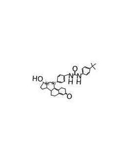 CC(C)(C)c1ccc(NC(=O)NCc2ccc([C@H]3C[C@]4(C)C(O)CCC4C4CCC5=CC(=O)CCC5=C43)cc2)cc1